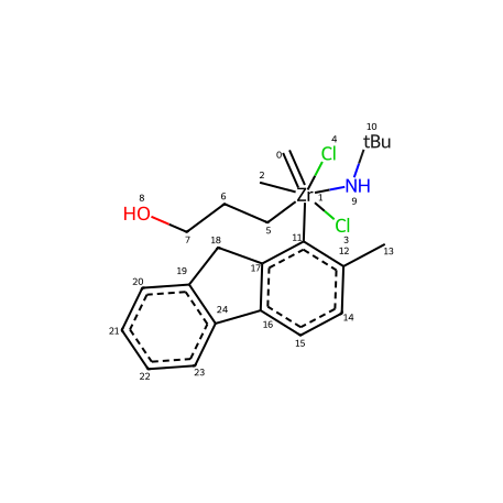 [CH2]=[Zr]([CH3])([Cl])([Cl])([CH2]CCO)([NH]C(C)(C)C)[c]1c(C)ccc2c1Cc1ccccc1-2